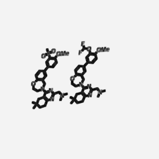 COc1ccc(-c2ccc3c(c2)CN(c2nc(CN(C)C)nc4c2CC(C)(C)CC4)CCO3)cc1OC(F)F.COc1ccc(-c2ccc3c(c2)CN(c2nc(CN(C)C)nc4c2CC(C)(C)CC4)CCO3)cc1S(C)(=O)=O